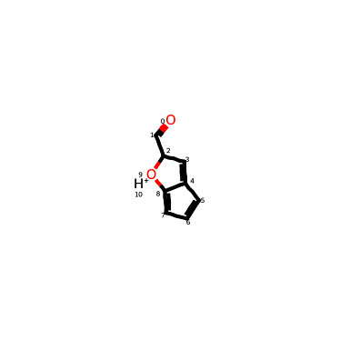 O=CC1C=C2C=CC=C2O1.[H+]